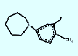 Cc1ccc(N2CCCCCC2)cc1F